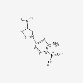 CN(C)C1CCN(c2ccc([N+](=O)[O-])c(N)c2)C1